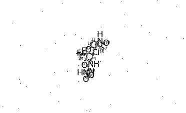 O=C(Nc1cc(Cl)c(Oc2ccc3c(c2)C2(CC2)C(=O)N3)c(C(F)(F)F)c1)c1noc(=O)[nH]1